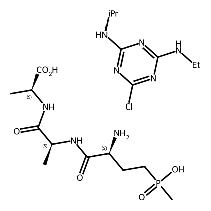 CCNc1nc(Cl)nc(NC(C)C)n1.C[C@H](NC(=O)[C@H](C)NC(=O)[C@@H](N)CCP(C)(=O)O)C(=O)O